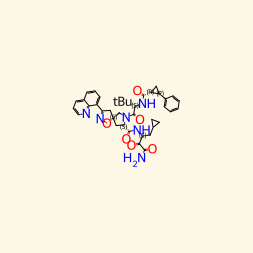 CC(C)(C)[C@H](NC(=O)[C@@H]1C[C@H]1c1ccccc1)C(=O)N1C[C@@]2(CC(c3cccc4cccnc34)=NO2)C[C@H]1C(=O)N[C@@H](CC1CC1)C(=O)C(N)=O